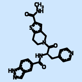 CNC(=O)c1cc2c(s1)CCN(C(=O)[C@@H](Cc1ccncc1)NC(=O)c1ccc3[nH]ncc3c1)C2